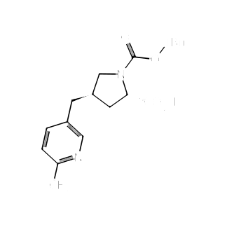 CC(C)(C)OC(=O)N1C[C@H](Cc2ccc(C(F)(F)F)nc2)C[C@H]1C(=O)O